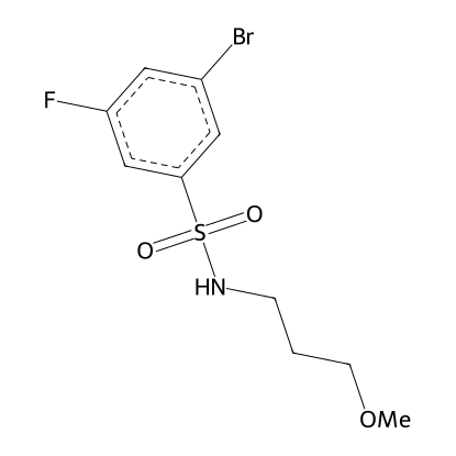 COCCCNS(=O)(=O)c1cc(F)cc(Br)c1